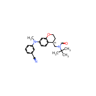 CN(c1cccc(C#N)c1)c1ccc2c(c1)OCC[C@H]2CN([C]=O)C(C)(C)C